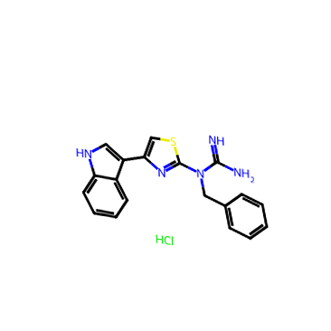 Cl.N=C(N)N(Cc1ccccc1)c1nc(-c2c[nH]c3ccccc23)cs1